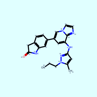 Cc1cc(Nc2cc(-c3ccc4c(c3)NC(=O)C4)cn3ccnc23)nn1CCN=O